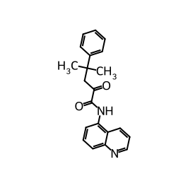 CC(C)(CC(=O)C(=O)Nc1cccc2ncccc12)c1ccccc1